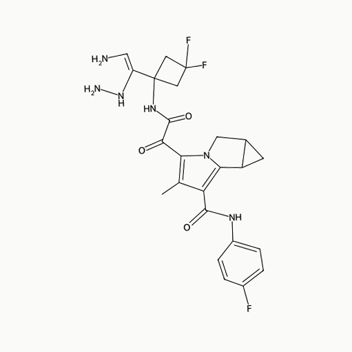 Cc1c(C(=O)Nc2ccc(F)cc2)c2n(c1C(=O)C(=O)NC1(/C(=C/N)NN)CC(F)(F)C1)CC1CC21